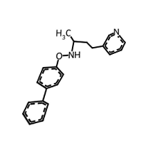 CC(CCc1cccnc1)NOc1ccc(-c2ccccc2)cc1